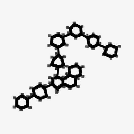 c1ccc(-c2ccc(-c3cccc(-c4cccc(-c5ccc(-c6nc(-c7ccc(-c8ccccc8)cc7)nc7ccc8ccccc8c67)cc5)c4)c3)cc2)cc1